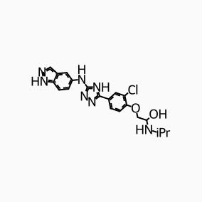 CC(C)NC(O)COc1ccc(-c2nnc(Nc3ccc4[nH]ncc4c3)[nH]2)cc1Cl